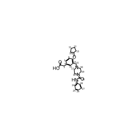 O=C(O)Cc1ccc(OC2CCCC2)c(CN2CCN(C(=O)Nc3ccccc3)CC2)c1